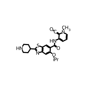 CC(C)Oc1cc2nc(C3CCNCC3)sc2cc1C(=O)NC1=CC=CN(C)C1=C=O